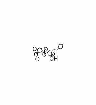 COc1ccc(S(=O)(=O)C(CCCCc2ccccc2)CC(=O)O)cc1OC1CCCC1